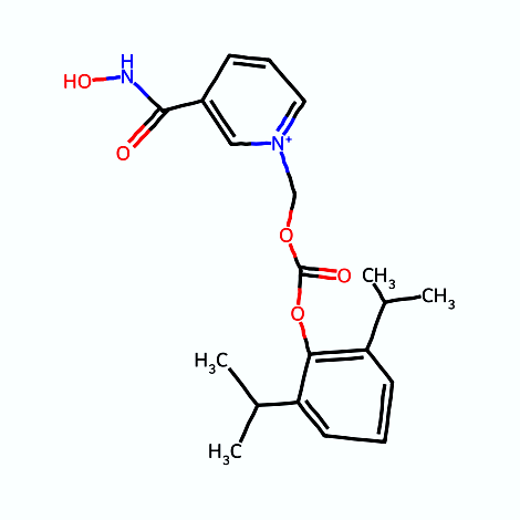 CC(C)c1cccc(C(C)C)c1OC(=O)OC[n+]1cccc(C(=O)NO)c1